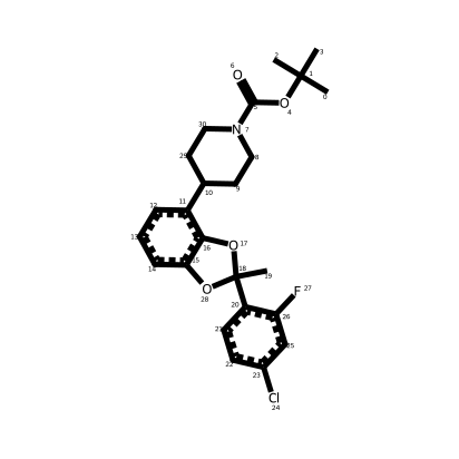 CC(C)(C)OC(=O)N1CCC(c2cccc3c2OC(C)(c2ccc(Cl)cc2F)O3)CC1